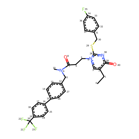 CCc1cn(CCC(=O)N(C)Cc2ccc(-c3ccc(C(F)(F)F)cc3)cc2)c(SCc2ccc(F)cc2)nc1=O